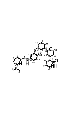 CN(C)c1nccc(CNc2ccc3c(c2)Sc2cccc(C4CN(c5ccc[nH]c5=O)CCO4)c2S3)n1